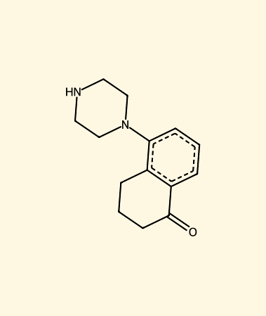 O=C1CCCc2c1cccc2N1CCNCC1